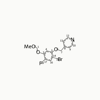 COCOc1cc(OCc2ccncc2)c(Br)cc1F